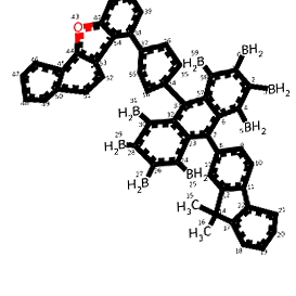 Bc1c(B)c(B)c2c(-c3ccc4c(c3)C(C)(C)c3ccccc3-4)c3c(B)c(B)c(B)c(B)c3c(-c3ccc(-c4cccc5oc6c7ccccc7ccc6c45)cc3)c2c1B